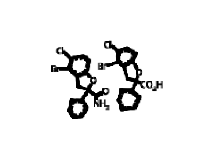 NC(=O)C1(c2ccccc2)Cc2c(ccc(Cl)c2Br)O1.O=C(O)C1(c2ccccc2)Cc2c(ccc(Cl)c2Br)O1